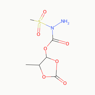 CC1OC(=O)OC1OC(=O)N(N)S(C)(=O)=O